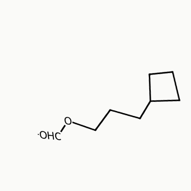 O=[C]OCCCC1CCC1